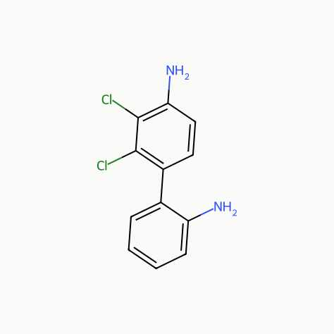 Nc1ccccc1-c1ccc(N)c(Cl)c1Cl